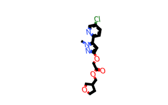 Cn1nc(OCC(=O)OCC2CCOC2)cc1-c1ccc(Cl)cn1